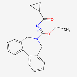 CCO/C(=N\C(=O)C1CC1)N1Cc2ccccc2-c2ccccc2C1